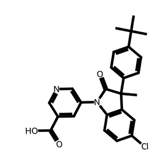 CC(C)(C)c1ccc(C2(C)C(=O)N(c3cncc(C(=O)O)c3)c3ccc(Cl)cc32)cc1